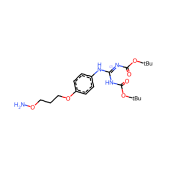 CC(C)(C)OC(=O)/N=C(\NC(=O)OC(C)(C)C)Nc1ccc(OCCCON)cc1